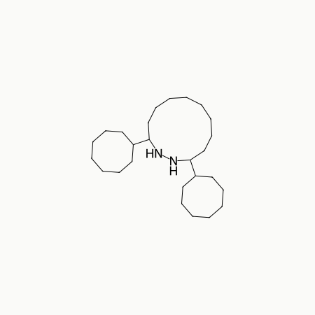 C1CCCC(C2CCCCCCCCC(C3CCCCCCC3)NN2)CCC1